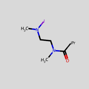 CC(C)C(=O)N(C)CCN(C)I